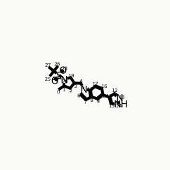 CC1CC(Cn2ccc3cc(-c4cn[nH]c4)ccc32)CN1S(=O)(=O)C(C)(C)C